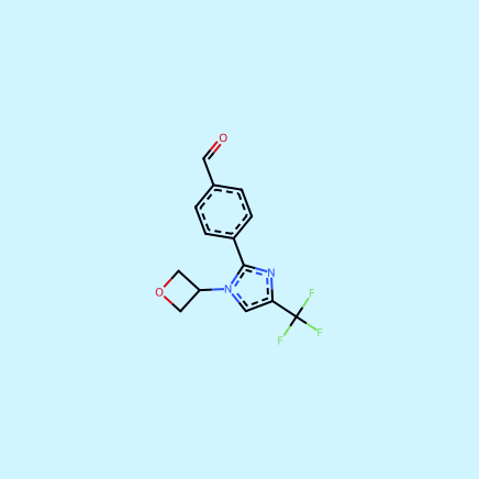 O=Cc1ccc(-c2nc(C(F)(F)F)cn2C2COC2)cc1